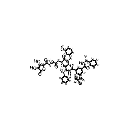 COc1cccc(CN(C[C@@H](O)[C@H](Cc2ccccc2)NC(=O)c2cc(C(=O)N[C@H](C)c3ccccc3)cc(N(C)S(C)(=O)=O)c2)C(=O)CCC(=O)OCC(O)C2OC(=O)C(O)=C2O)c1